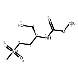 CC(C)(C)OC(=O)N[C@H](CO)CCS(C)(=O)=O